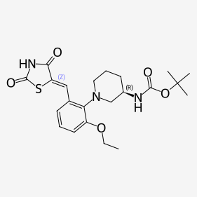 CCOc1cccc(/C=C2\SC(=O)NC2=O)c1N1CCC[C@@H](NC(=O)OC(C)(C)C)C1